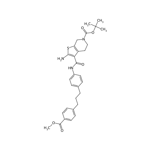 COC(=O)c1ccc(CCCc2ccc(NC(=O)c3c(N)sc4c3CCN(C(=O)OC(C)(C)C)C4)cc2)cc1